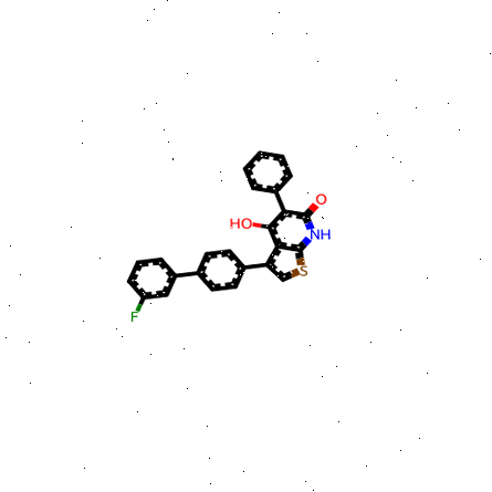 O=c1[nH]c2scc(-c3ccc(-c4cccc(F)c4)cc3)c2c(O)c1-c1ccccc1